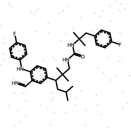 CC(C)CC(c1ccc(Nc2ccc(F)cc2)c(C=N)c1)C(C)(C)CNC(=O)NC(C)(C)Cc1ccc(F)cc1